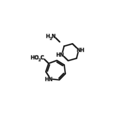 C1CNCCN1.CN.O=C(O)C1=CNC=CC=C1